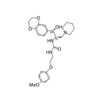 COc1ccc(OCCNC(=O)N[C@H](CN2CCCCC2)[C@H](O)c2ccc3c(c2)OCCO3)cc1